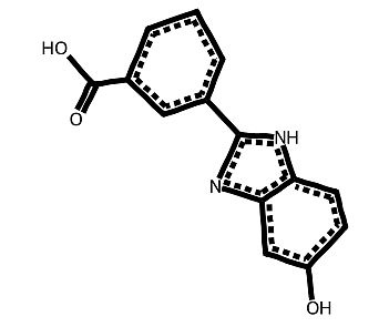 O=C(O)c1cccc(-c2nc3cc(O)ccc3[nH]2)c1